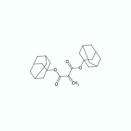 C=C(C(=O)OC12CC3CC(CC(C3)C1)C2)C(=O)OC12CC3CC(CC(C3)C1)C2